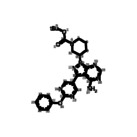 CC(C)(C)OC(=O)N1CCC[C@@H](n2nc(-c3cnc(Oc4ccccc4)nc3)c3c(N)ncnc32)C1